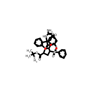 CC(C)(C)OC(=O)C1CC(S(=O)(=O)c2ccccc2)C(c2ccccc2F)N1c1ccccc1C(CC=O)(NC(N)=O)C(=O)O